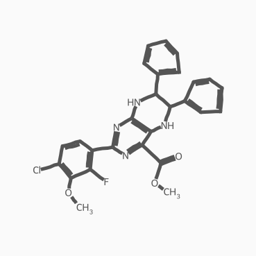 COC(=O)c1nc(-c2ccc(Cl)c(OC)c2F)nc2c1NC(c1ccccc1)C(c1ccccc1)N2